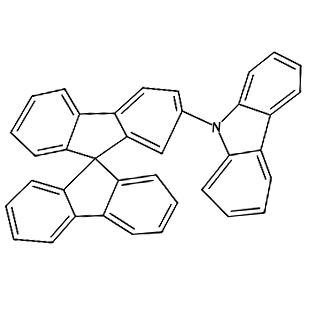 c1ccc2c(c1)-c1ccccc1C21c2ccccc2-c2ccc(-n3c4ccccc4c4ccccc43)cc21